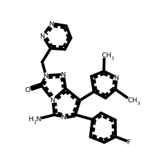 Cc1cc(-c2c(-c3ccc(F)cc3)nc(N)n3c(=O)n(Cc4cccnn4)nc23)cc(C)n1